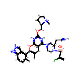 C=C(F)C(=O)N1CCN(c2nc(OCC3CCCN3C)nc3c2CC(C)=C(c2c(C)ccc4[nH]ncc24)O3)C[C@@]1(O)CC#N